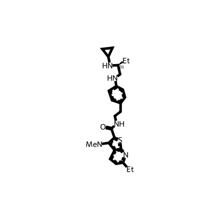 CCc1ccc2c(NC)c(C(=O)NCCc3ccc(NC[C@H](CC)NC4CC4)cc3)sc2n1